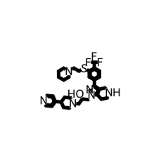 OC(CN1CCC(c2ccncc2)CC1)Cn1nc(-c2ccc(C(F)(F)F)c(SCCN3CCCCC3)c2)c2c1CCNC2